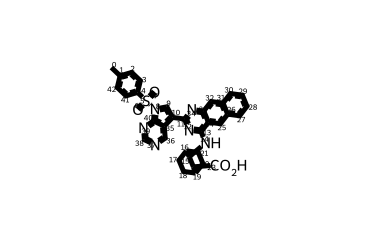 Cc1ccc(S(=O)(=O)n2cc(-c3nc(NC4C5CCC(CC5)C4C(=O)O)c4cc5ccccc5cc4n3)c3cncnc32)cc1